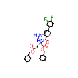 Nc1cc(-c2ccc(F)c(F)c2)ccc1C(=O)N[C@H](CCC(=O)OCc1ccccc1)C(=O)OCc1ccccc1